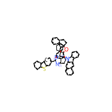 C1=CCCC(C2=C/CC/C(c3ccc4c(oc5ccc6ccccc6c54)c3-n3c4ccccc4c4cc5ccccc5cc43)=N/C(c3ccc4c(c3)sc3ccccc34)=N\2)=C1